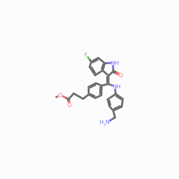 COC(=O)CCc1ccc(/C(Nc2ccc(CN)cc2)=C2/C(=O)Nc3cc(F)ccc32)cc1